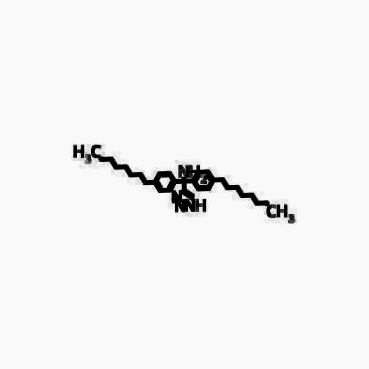 CCCCCCCCc1ccc(C(N)(c2ccc(CCCCCCCC)cc2)c2c[nH]nn2)cc1